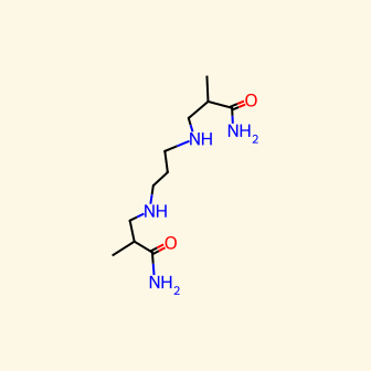 CC(CNCCCNCC(C)C(N)=O)C(N)=O